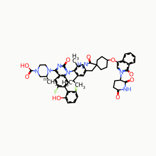 Cc1cc(CC2(C(N)=O)CCC(Oc3cn(C4CCC(=O)NC4=O)c(=O)c4ccccc34)CC2)cc(C(C)C)c1-n1c(=O)nc(N2CCN(C(=O)O)C[C@@H]2C)c2cc(F)c(-c3c(O)cccc3F)cc21